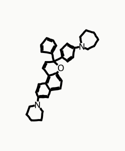 C1=CC(c2ccccc2)(c2ccc(N3CCCCCC3)cc2)Oc2ccc3cc(N4CCCCC4)ccc3c21